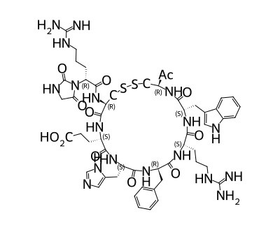 CC(=O)[C@@H]1CSSC[C@H](NC(=O)[C@@H](CCCNC(=N)N)N2C(=O)CNC2=O)C(=O)N[C@@H](CCC(=O)O)C(=O)N[C@@H](Cc2cnc[nH]2)C(=O)N[C@H](Cc2ccccc2)C(=O)N[C@@H](CCCNC(=N)N)C(=O)N[C@@H](Cc2c[nH]c3ccccc23)C(=O)N1